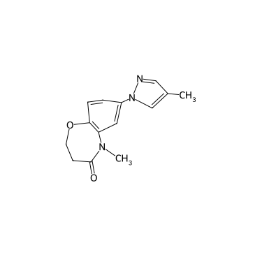 Cc1cnn(-c2ccc3c(c2)N(C)C(=O)CCO3)c1